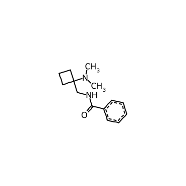 CN(C)C1(CNC(=O)c2ccccc2)CCC1